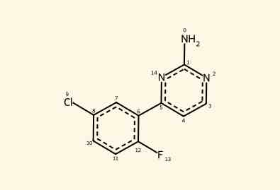 Nc1nccc(-c2cc(Cl)ccc2F)n1